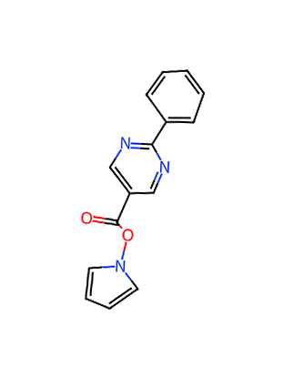 O=C(On1cccc1)c1cnc(-c2ccccc2)nc1